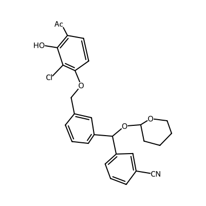 CC(=O)c1ccc(OCc2cccc(C(OC3CCCCO3)c3cccc(C#N)c3)c2)c(Cl)c1O